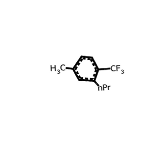 CCCc1cc(C)ccc1C(F)(F)F